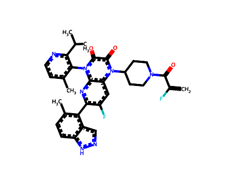 C=C(F)C(=O)N1CCC(n2c(=O)c(=O)n(-c3c(C)ccnc3C(C)C)c3nc(-c4c(C)ccc5[nH]ncc45)c(F)cc32)CC1